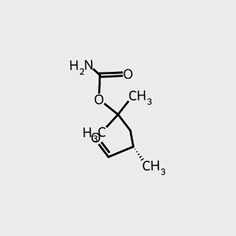 C[C@H](C=O)CC(C)(C)OC(N)=O